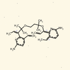 C=C/C(OC(C)(C)CCOC(C)(C)/C(=C/C)c1nc(N)ccc1C=C)=c1/nc(N)cc/c1=C/C